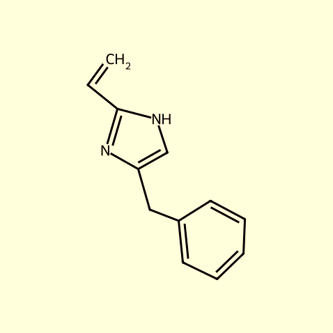 C=Cc1nc(Cc2ccccc2)c[nH]1